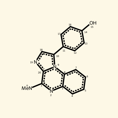 CNc1nc2ccccc2n2c(-c3ccc(O)cc3)cnc12